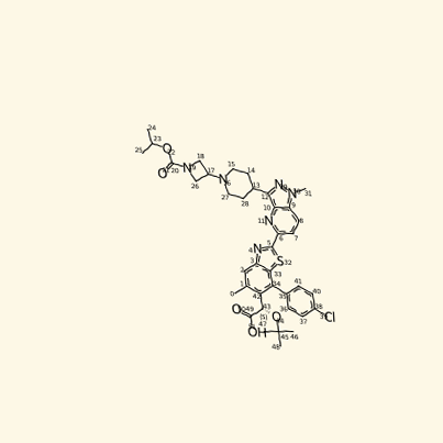 Cc1cc2nc(-c3ccc4c(n3)c(C3CCN(C5CN(C(=O)OC(C)C)C5)CC3)nn4C)sc2c(-c2ccc(Cl)cc2)c1[C@H](OC(C)(C)C)C(=O)O